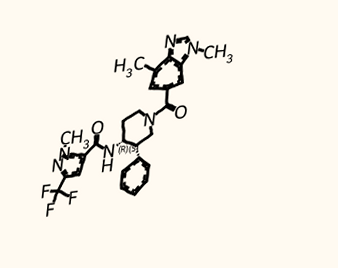 Cc1cc(C(=O)N2CC[C@@H](NC(=O)c3cc(C(F)(F)F)nn3C)[C@@H](c3ccccc3)C2)cc2c1ncn2C